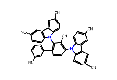 N#Cc1cccc(-c2ccc(-n3c4ccc(C#N)cc4c4cc(C#N)ccc43)c(C#N)c2-n2c3ccc(C#N)cc3c3cc(C#N)ccc32)c1